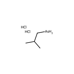 CC(C)C[AsH2].Cl.Cl